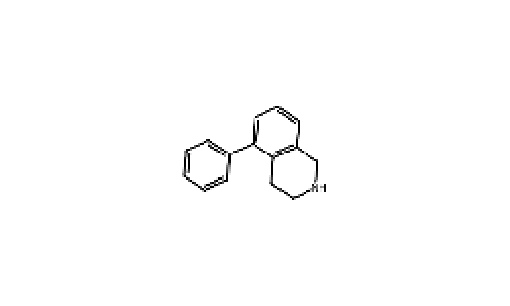 c1ccc(-c2cccc3c2CCNC3)cc1